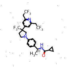 C[C@H](NC(=O)C1CC1)c1ccc(N2CCC(c3cc(CC(F)(F)F)nc(CC(F)(F)F)c3)(C(F)(F)F)C2)cc1